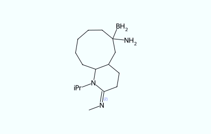 BC1(N)CCCCCC2C(CC/C(=N/C)N2C(C)C)C1